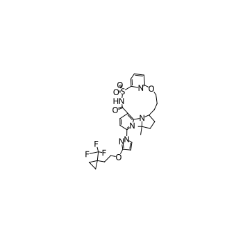 CC1(C)CCC2CCCOc3cccc(n3)S(=O)(=O)NC(=O)c3ccc(-n4ccc(OCCC5(C(F)(F)F)CC5)n4)nc3N21